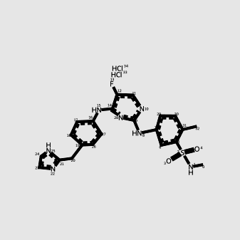 CNS(=O)(=O)c1cc(Nc2ncc(F)c(Nc3ccc(Cc4ncc[nH]4)cc3)n2)ccc1C.Cl.Cl